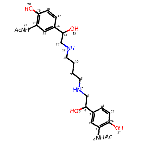 CC(=O)Nc1cc(C(O)CNCCCCNCC(O)c2ccc(O)c(NC(C)=O)c2)ccc1O